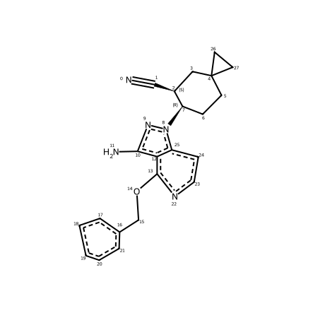 N#C[C@H]1CC2(CC[C@H]1n1nc(N)c3c(OCc4ccccc4)nccc31)CC2